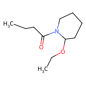 CCCC(=O)N1CCCCC1OCC